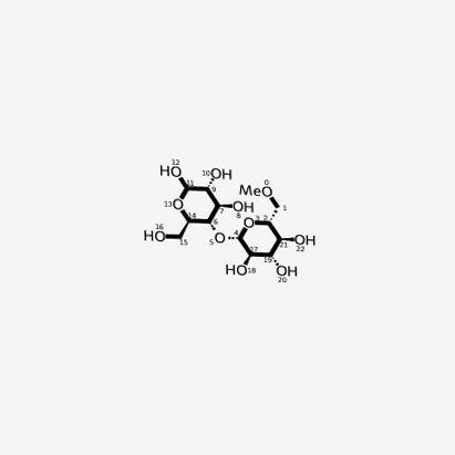 COC[C@H]1O[C@@H](O[C@H]2[C@H](O)[C@@H](O)C(O)O[C@@H]2CO)[C@H](O)[C@@H](O)[C@@H]1O